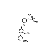 CCOP(C)(=O)CC(c1cccc(OCc2ccc(-c3cccc(OC)c3)c(CC(C)(C)C)c2)c1)C1CC1